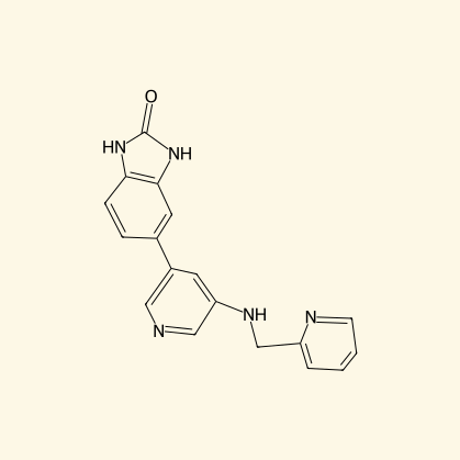 O=c1[nH]c2ccc(-c3cncc(NCc4ccccn4)c3)cc2[nH]1